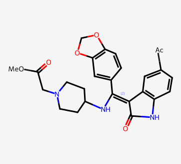 COC(=O)CN1CCC(N/C(=C2\C(=O)Nc3ccc(C(C)=O)cc32)c2ccc3c(c2)OCO3)CC1